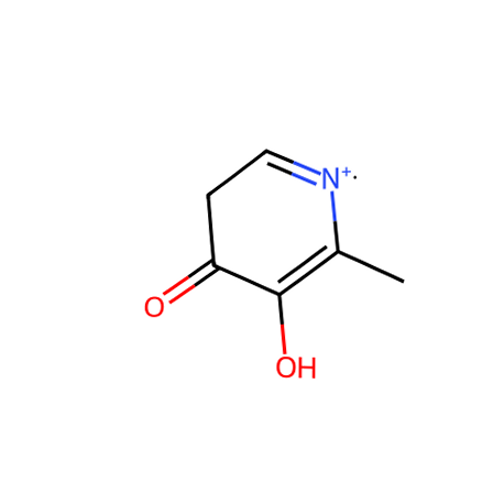 CC1=C(O)C(=O)CC=[N+]1